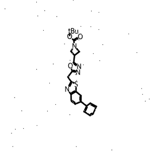 CC(C)(C)OC(=O)N1CC(c2nnc(Cc3nc4ccc(-c5ccccc5)cc4s3)o2)C1